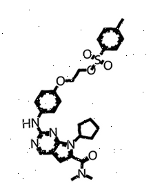 Cc1ccc(S(=O)(=O)OCCOc2ccc(Nc3ncc4cc(C(=O)N(C)C)n(C5CCCC5)c4n3)cc2)cc1